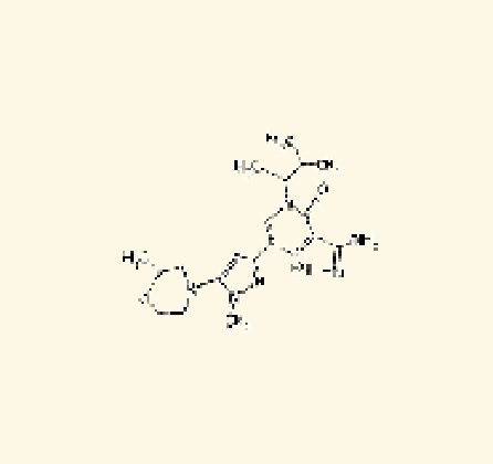 CC1CN(c2cc(-c3cn(C(C)C(C)C)c(=O)c4c(N)n[nH]c34)nn2C)CCO1